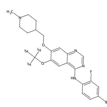 [2H]C([2H])([2H])Oc1cc2c(Nc3ccc(Br)cc3F)ncnc2cc1OCC1CCN(C)CC1